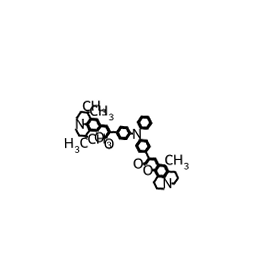 Cc1c2c3c(c4oc(=O)c(-c5ccc(N(c6ccccc6)c6ccc(-c7cc8cc9c%10c(c8oc7=O)C(C)(C)CCN%10CCC9(C)C)cc6)cc5)cc14)CCCN3CCC2